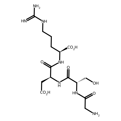 N=C(N)NCCC[C@H](NC(=O)[C@H](CC(=O)O)NC(=O)[C@H](CO)NC(=O)CN)C(=O)O